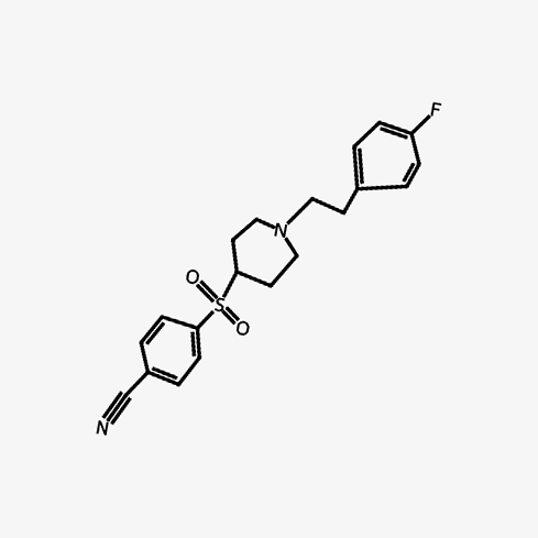 N#Cc1ccc(S(=O)(=O)C2CCN(CCc3ccc(F)cc3)CC2)cc1